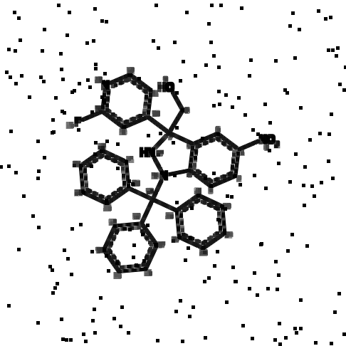 O=[N+]([O-])c1ccc2c(c1)C(CO)(c1ccnc(F)c1)NN2C(c1ccccc1)(c1ccccc1)c1ccccc1